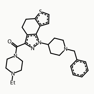 CCN1CCN(C(=O)c2nn(C3CCN(Cc4ccccc4)CC3)c3c2CCc2sccc2-3)CC1